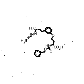 CC(CCc1cccc(OCC[C@H](NC(=O)OCc2ccccc2)C(=O)O)c1)=NNC=NN